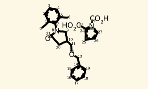 Cc1cccc(C)c1N1CC(COCc2ccccc2)CC1=O.O=C(O)c1cccn1C(=O)O